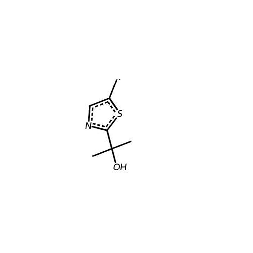 [CH2]c1cnc(C(C)(C)O)s1